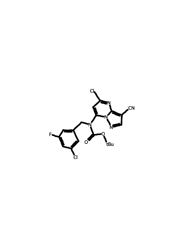 CC(C)(C)OC(=O)N(Cc1cc(F)cc(Cl)c1)c1cc(Cl)nc2c(C#N)cnn12